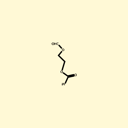 CC(C)C(=O)OCCO[C]=O